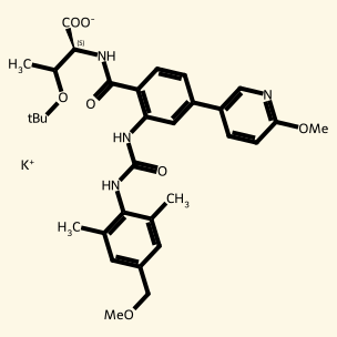 COCc1cc(C)c(NC(=O)Nc2cc(-c3ccc(OC)nc3)ccc2C(=O)N[C@H](C(=O)[O-])C(C)OC(C)(C)C)c(C)c1.[K+]